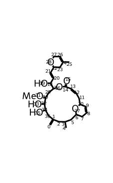 C=C1CC(C)CC2CC=CC(CC=CC(=O)OC(C(O)C=CC3CC(C)=CCO3)CC(OC)C(O)C(O)C1)O2